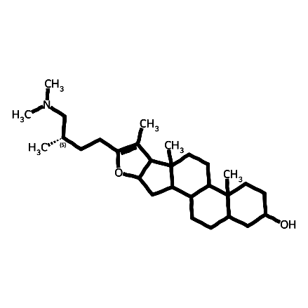 CC1=C(CC[C@H](C)CN(C)C)OC2CC3C4CCC5CC(O)CCC5(C)C4CCC3(C)C12